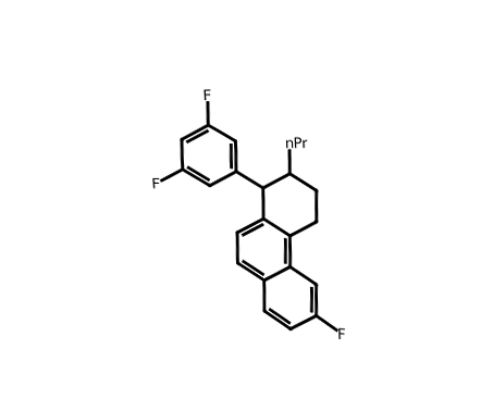 CCCC1CCc2c(ccc3ccc(F)cc23)C1c1cc(F)cc(F)c1